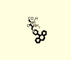 N[C@@H](CN1CCC(=C2c3ccccc3C=Cc3ccccc32)CC1)C(=O)NCC(=O)O